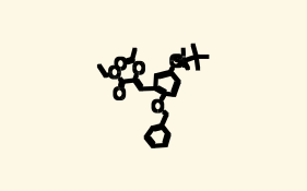 CCOC(=O)/C(=C/c1cc(O[Si](C)(C)C(C)(C)C)ccc1OCc1ccccc1)OC(C)=O